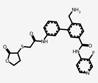 NCc1ccc(C(=O)Nc2ccncc2F)cc1-c1cccc(NC(=O)CSC2CCOC2=O)c1